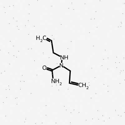 C=CCNN(CC=C)C(N)=O